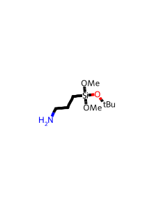 CO[Si](CCCN)(OC)OC(C)(C)C